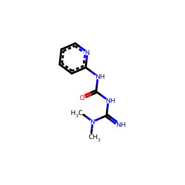 CN(C)C(=N)NC(=O)Nc1ccccn1